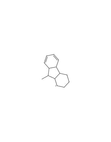 CC1C2[C]CCCC2C2C=CC=CC12